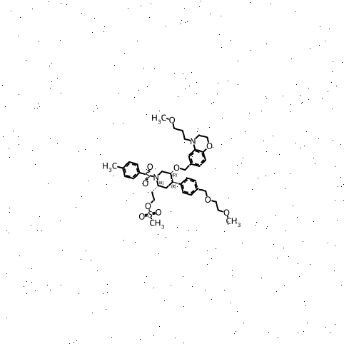 COCCCN1CCOc2ccc(CO[C@H]3CN(S(=O)(=O)c4ccc(C)cc4)[C@@H](CCOS(C)(=O)=O)C[C@@H]3c3ccc(COCCOC)cc3)cc21